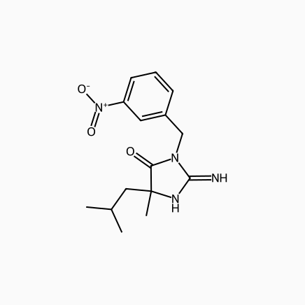 CC(C)CC1(C)NC(=N)N(Cc2cccc([N+](=O)[O-])c2)C1=O